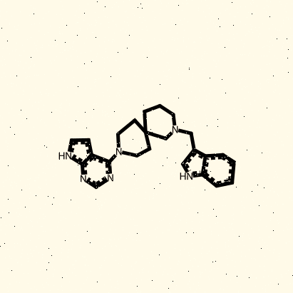 c1ccc2c(CN3CCCC4(CCN(c5ncnc6[nH]ccc56)CC4)C3)c[nH]c2c1